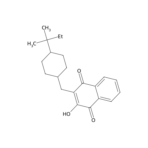 CCC(C)(C)C1CCC(CC2=C(O)C(=O)c3ccccc3C2=O)CC1